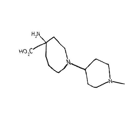 CN1CCC(N2CCC(N)(C(=O)O)CC2)CC1